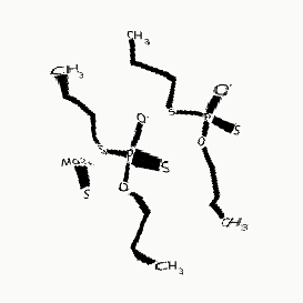 CCCOP([O-])(=S)SCCC.CCCOP([O-])(=S)SCCC.[S]=[Mo+2]